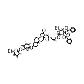 CCC1O[C@@H](OCC2O[C@@H](OC3CCC4(C)C(CCC5C4CCC4(C)C5CC(=O)C4[C@H](C)C(=O)CC[C@H](C)CO[C@@H]4OC(CC)[C@@H](C)[C@H](OC(=O)c5ccccc5)C4OC(=O)c4ccccc4)C3)C(C)[C@@H](C)[C@@H]2C)C(C)[C@@H](C)[C@@H]1C